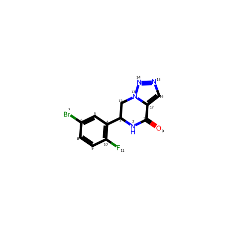 O=C1NC(c2cc(Br)ccc2F)Cn2nncc21